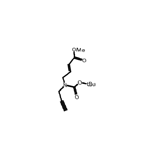 C#CCN(CC=CC(=O)OC)C(=O)OC(C)(C)C